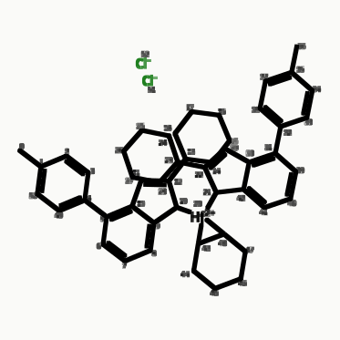 Cc1ccc(-c2cccc3c2C=C(C2CCCCC2)[CH]3[Hf+2]2([CH]3C(C4CCCCC4)=Cc4c(-c5ccc(C)cc5)cccc43)[CH]3CCCC[CH]32)cc1.[Cl-].[Cl-]